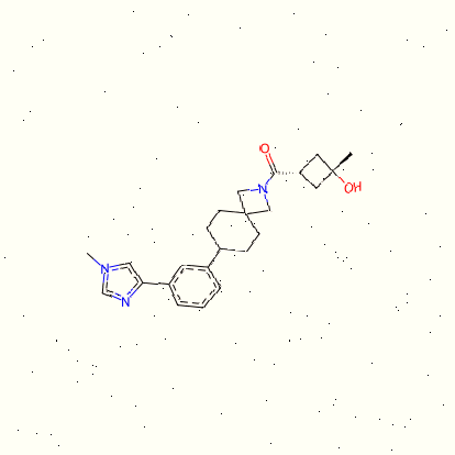 Cn1cnc(-c2cccc(C3CCC4(CC3)CN(C(=O)[C@H]3C[C@@](C)(O)C3)C4)c2)c1